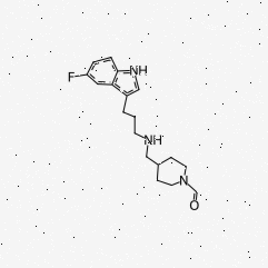 O=CN1CCC(CNCCCc2c[nH]c3ccc(F)cc23)CC1